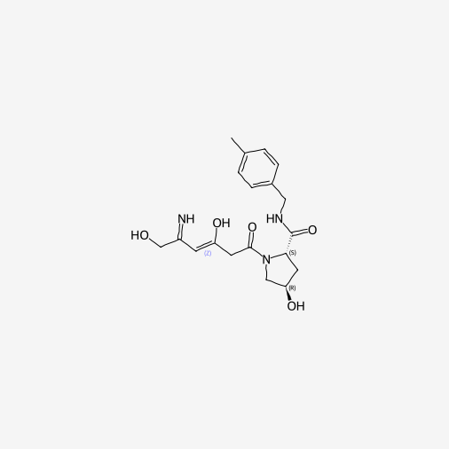 Cc1ccc(CNC(=O)[C@@H]2C[C@@H](O)CN2C(=O)C/C(O)=C/C(=N)CO)cc1